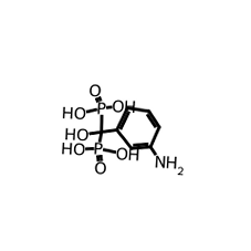 Nc1cccc(C(O)(P(=O)(O)O)P(=O)(O)O)c1